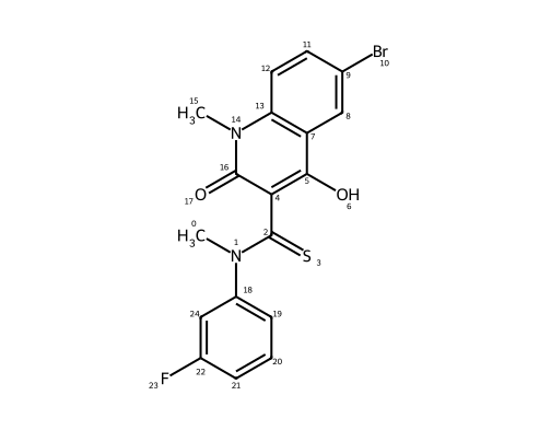 CN(C(=S)c1c(O)c2cc(Br)ccc2n(C)c1=O)c1cccc(F)c1